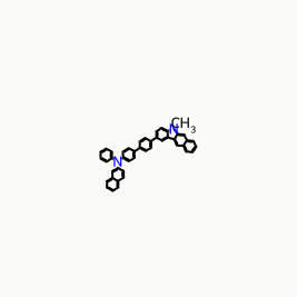 Cn1c2ccc(-c3ccc(-c4ccc(N(c5ccccc5)c5ccc6ccccc6c5)cc4)cc3)cc2c2cc3ccccc3cc21